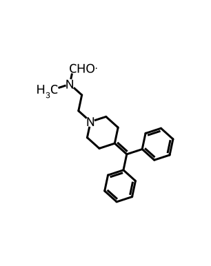 CN([C]=O)CCN1CCC(=C(c2ccccc2)c2ccccc2)CC1